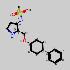 CS(=O)(=O)N[C@@H]1CCN[C@@H]1CO[C@H]1CC[C@@H](c2ccccc2)CC1